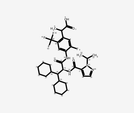 CC(C(=O)O)c1cc(F)c(NC(=O)[C@@H](NC(=O)c2ccnn2C(C)C)C(C2CCCCC2)C2CCCCC2)cc1C(F)(F)F